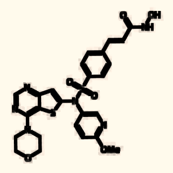 COc1ccc(N(c2cc3ncnc(N4CCOCC4)c3s2)S(=O)(=O)c2ccc(C=CC(=O)NO)cc2)cn1